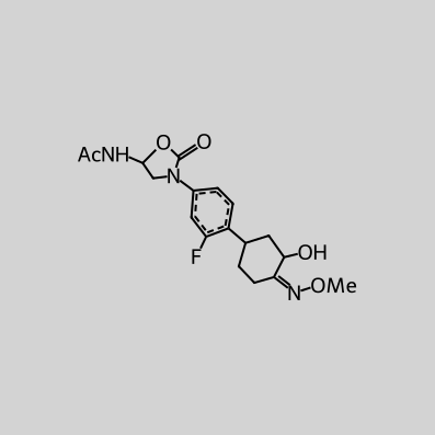 CO/N=C1/CCC(c2ccc(N3CC(NC(C)=O)OC3=O)cc2F)CC1O